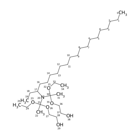 CCCCCCCCCCCCCCCCCC(CC)N(C(C)(OCC)OCCO)C(C)(OCC)OCCO